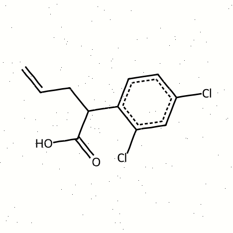 C=CCC(C(=O)O)c1ccc(Cl)cc1Cl